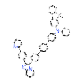 CC1(C)c2ccccc2-c2ccc(N(c3ccccc3)c3ccc(-c4ccc(-c5ccc6c(c5)c5cc(-c7ccccn7)ccc5c5nc7ccccn7c65)cc4)cc3)cc21